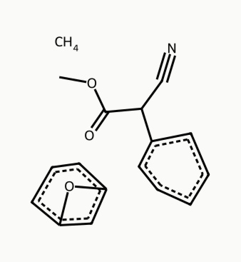 C.COC(=O)C(C#N)c1ccccc1.c1cc2cc(c1)O2